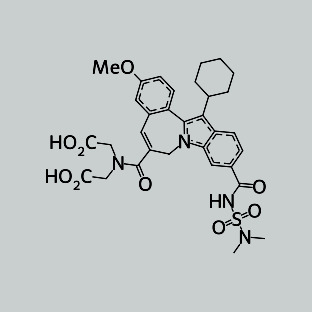 COc1ccc2c(c1)C=C(C(=O)N(CC(=O)O)CC(=O)O)Cn1c-2c(C2CCCCC2)c2ccc(C(=O)NS(=O)(=O)N(C)C)cc21